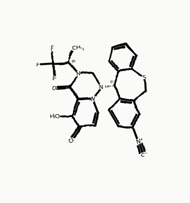 [C-]#[N+]c1ccc2c(c1)CSc1ccccc1[C@H]2N1CN([C@H](C)C(F)(F)F)C(=O)c2c(O)c(=O)ccn21